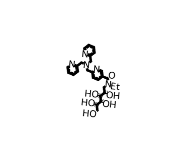 CCN(C[C@H](O)[C@@H](O)[C@H](O)[C@H](O)CO)C(=O)c1ccc(CN(Cc2ccccn2)Cc2ccccn2)nc1